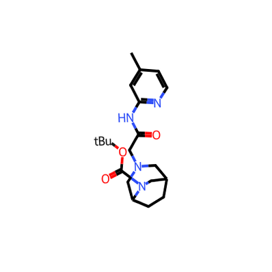 Cc1ccnc(NC(=O)CN2CC3CCC(C2)N(C(=O)OC(C)(C)C)C3)c1